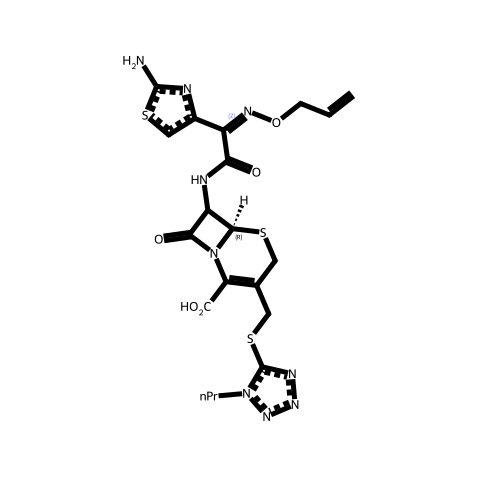 C=CCO/N=C(\C(=O)NC1C(=O)N2C(C(=O)O)=C(CSc3nnnn3CCC)CS[C@H]12)c1csc(N)n1